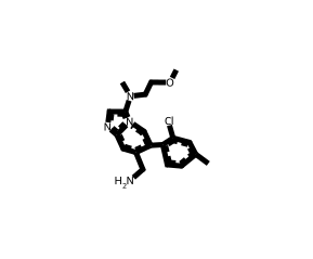 COCCN(C)c1cnc2cc(CN)c(-c3ccc(C)cc3Cl)cn12